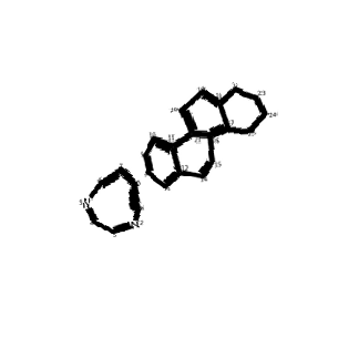 C1=CN=CC=NC=C1.c1ccc2c(c1)ccc1c3c(ccc12)CCCC3